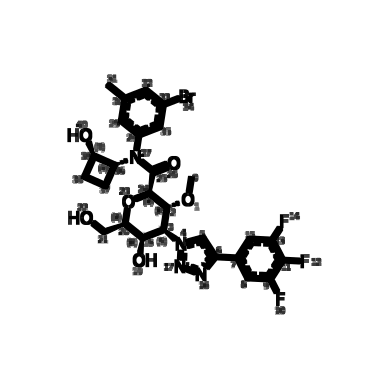 CO[C@@H]1[C@@H](n2cc(-c3cc(F)c(F)c(F)c3)nn2)[C@@H](O)[C@@H](CO)O[C@H]1C(=O)N(c1cc(C)cc(Br)c1)[C@@H]1CC[C@H]1O